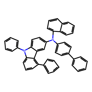 c1ccc(-c2ccc(N(c3ccc4c(c3)c3c(-c5ccccc5)cccc3n4-c3ccccc3)c3cccc4ccccc34)cc2)cc1